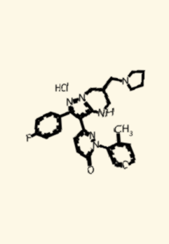 Cc1ccccc1-n1nc(-c2c(-c3ccc(F)cc3)nn3c2NCC(CN2CCCC2)C3)ccc1=O.Cl